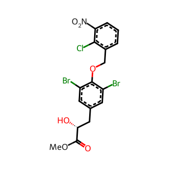 COC(=O)[C@H](O)Cc1cc(Br)c(OCc2cccc([N+](=O)[O-])c2Cl)c(Br)c1